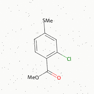 COC(=O)c1ccc(SC)cc1Cl